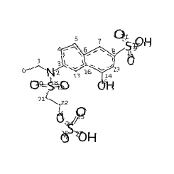 CCN(c1ccc2cc(S(=O)(=O)O)cc(O)c2c1)S(=O)(=O)CCOS(=O)(=O)O